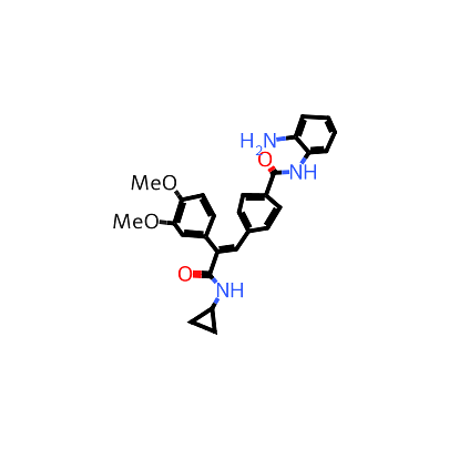 COc1ccc(/C(=C\c2ccc(C(=O)Nc3ccccc3N)cc2)C(=O)NC2CC2)cc1OC